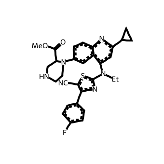 CCN(c1nc(-c2ccc(F)cc2)c(C#N)s1)c1cc(C2CC2)nc2ccc(N3CCNCC3C(=O)OC)cc12